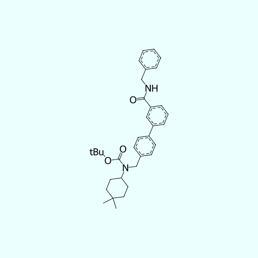 CC1(C)CCC(N(Cc2ccc(-c3cccc(C(=O)NCc4ccccc4)c3)cc2)C(=O)OC(C)(C)C)CC1